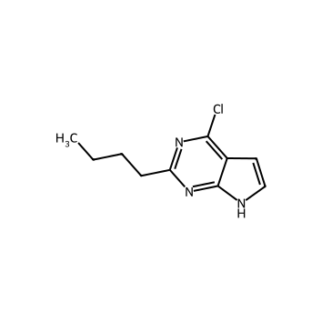 CCCCc1nc(Cl)c2cc[nH]c2n1